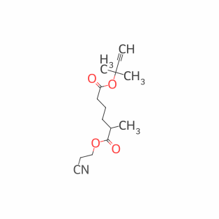 C#CC(C)(C)OC(=O)CCCC(C)C(=O)OCCC#N